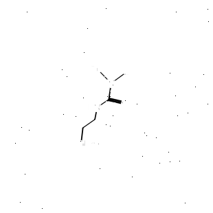 CCCCCCCCNC(=O)N(CC)CC